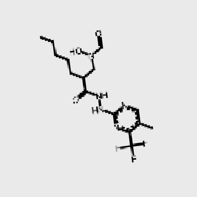 CCCCCC(CN(O)C=O)C(=O)NNc1ncc(C)c(C(F)(F)F)n1